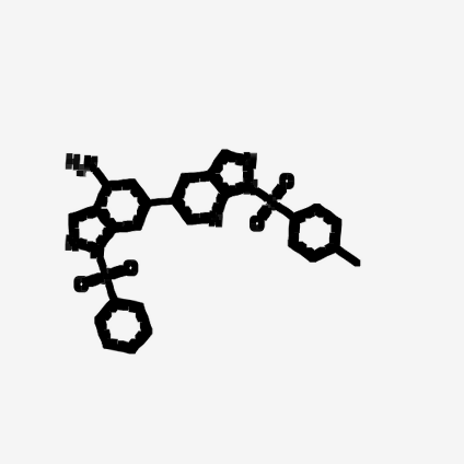 Cc1ccc(S(=O)(=O)n2ncc3cc(-c4cc(N)c5cnn(S(=O)(=O)c6ccccc6)c5c4)cnc32)cc1